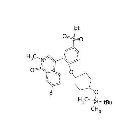 CCS(=O)(=O)c1ccc(OC2CCC(O[Si](C)(C)C(C)(C)C)CC2)c(-c2cn(C)c(=O)c3cc(F)ccc23)c1